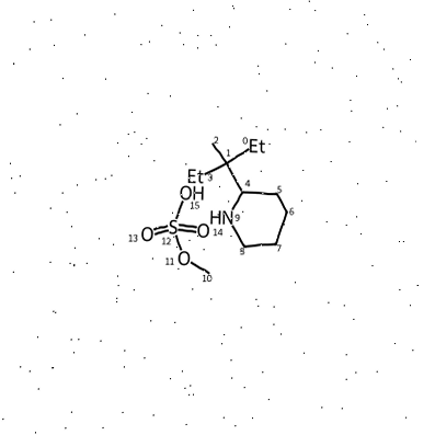 CCC(C)(CC)C1CCCCN1.COS(=O)(=O)O